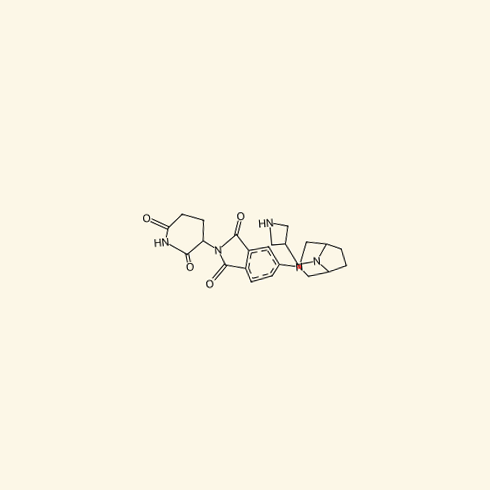 O=C1CCC(N2C(=O)c3ccc(N4CC5CCC(C4)N5CC4CNC4)cc3C2=O)C(=O)N1